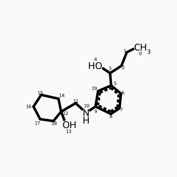 CCCC(O)c1cccc(NCC2(O)CCCCC2)c1